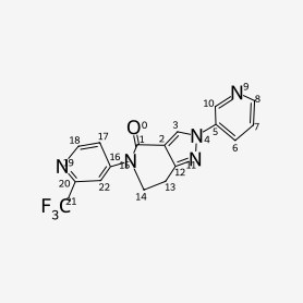 O=C1c2cn(-c3cccnc3)nc2CCN1c1ccnc(C(F)(F)F)c1